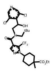 CCOC(=O)C1(C)CCC(n2ncc(C(=O)N(CC(O)c3c(Cl)cncc3Cl)CC(C)(C)C)c2C(F)(F)F)CC1